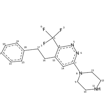 FC(F)(F)c1nnc(N2CCNCC2)cc1CCc1ccccc1